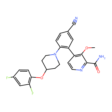 COc1c(-c2cc(C#N)ccc2N2CCC(Oc3ccc(F)cc3F)CC2)ccnc1C(N)=O